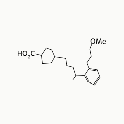 COCCCc1ccccc1C(C)CCCC1CCC(C(=O)O)CC1